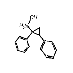 O[SiH2]C1(c2ccccc2)CC1c1ccccc1